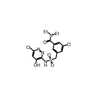 CCN(CC)C(=O)c1cc(Cl)cc(CS(=O)(=O)Nc2nnc(Cl)cc2O)c1